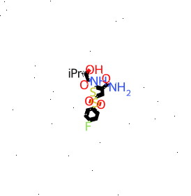 CC(C)[C@H](O)C(=O)Nc1sc(S(=O)(=O)c2ccc(F)cc2)cc1C(N)=O